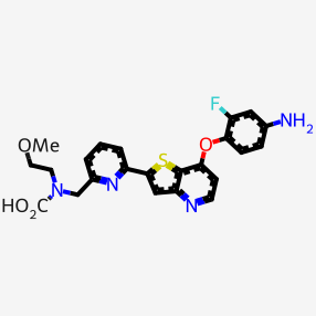 COCCN(Cc1cccc(-c2cc3nccc(Oc4ccc(N)cc4F)c3s2)n1)C(=O)O